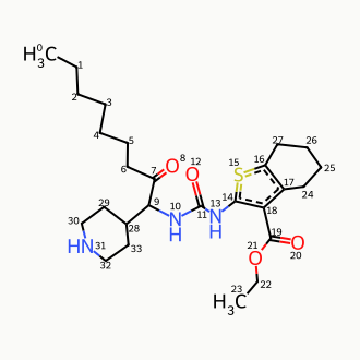 CCCCCCCC(=O)C(NC(=O)Nc1sc2c(c1C(=O)OCC)CCCC2)C1CCNCC1